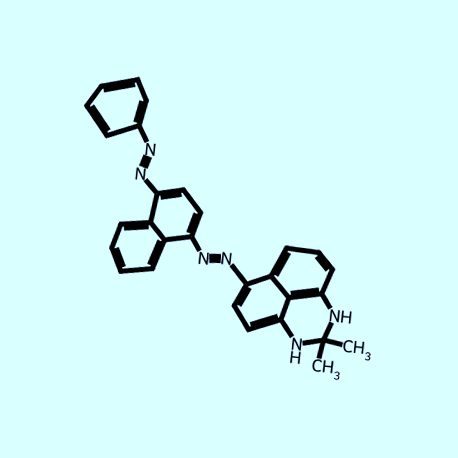 CC1(C)Nc2cccc3c(/N=N/c4ccc(N=Nc5ccccc5)c5ccccc45)ccc(c23)N1